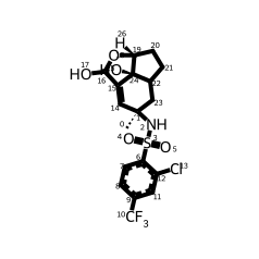 C[C@]1(NS(=O)(=O)c2ccc(C(F)(F)F)cc2Cl)C=C2C(O)O[C@@H]3CCC(C1)[C@]23O